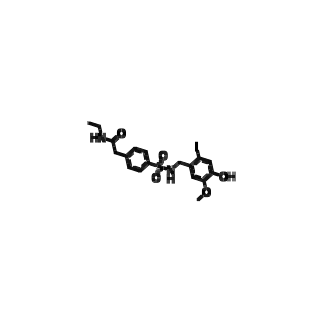 CCNC(=O)Cc1ccc(S(=O)(=O)NCc2cc(OC)c(O)cc2I)cc1